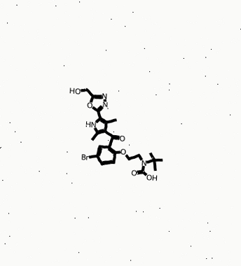 Cc1[nH]c(-c2nnc(CO)o2)c(C)c1C(=O)c1cc(Br)ccc1OCCN(C(=O)O)C(C)(C)C